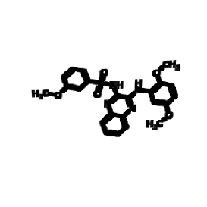 COc1cccc(S(=O)(=O)Nc2nc3ccccc3nc2Nc2cc(OC)ccc2OC)c1